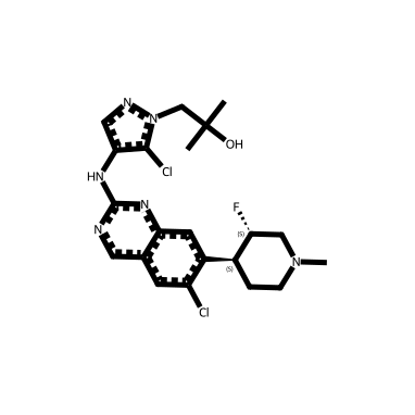 CN1CC[C@@H](c2cc3nc(Nc4cnn(CC(C)(C)O)c4Cl)ncc3cc2Cl)[C@H](F)C1